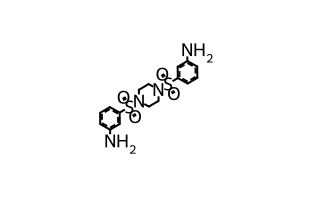 Nc1cccc(S(=O)(=O)N2CCN(S(=O)(=O)c3cccc(N)c3)CC2)c1